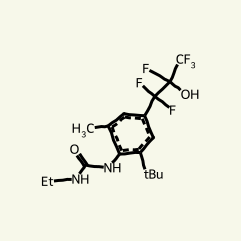 CCNC(=O)Nc1c(C)cc(C(F)(F)C(O)(F)C(F)(F)F)cc1C(C)(C)C